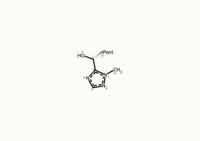 CCCCC[C@@H](O)c1ncnn1C